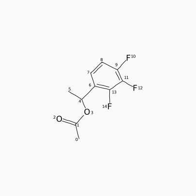 CC(=O)OC(C)c1ccc(F)c(F)c1F